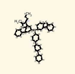 C=C/C=c1\c(=C)n2c3ccccc3c3cc(N(c4ccc(-c5ccc(-c6ccccc6)cc5)cc4)c4ccc5sc6ccccc6c5c4)cc1c32